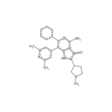 Cc1cc(-c2c(-c3ccccc3)nc(N)[n+]3c(=O)n(C4CCN(C)C4)[nH]c23)cc(C)n1